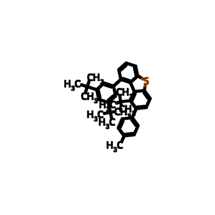 Cc1ccc(-c2ccc3sc4cccc(-c5cc(C(C)(C)C)cc(C(C)(C)C)c5)c4c3c2C(C)(C)C)cc1